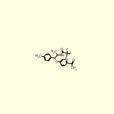 CC(=O)c1ccc(O[C@H](c2ccc(C)cc2)C(C)NC(=O)C(F)(F)F)cn1